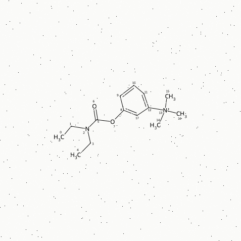 CCN(CC)C(=O)Oc1cccc([N+](C)(C)C)c1